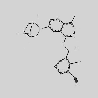 Cc1c(C#N)cccc1[C@@H](N)Nc1nnc(C)c2ccc(N3C[C@H]4CC[C@@H]3CN4C)cc12